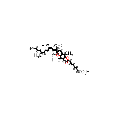 Cc1c(C)c2c(c(C)c1OC(=O)CCCCCCC(=O)O)CC[C@@](C)(C(CC=O)CC[C@H](C)CCC[C@H](C)CCCC(C)C)O2